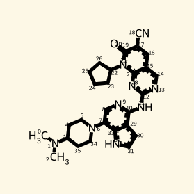 CN(C)C1CCN(c2cnc(Nc3ncc4cc(C#N)c(=O)n(C5CCCC5)c4n3)c3cc[nH]c23)CC1